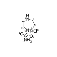 Cl.NS(=O)(=O)N1CCCNCC1